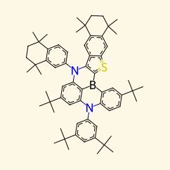 CC(C)(C)c1cc(N2c3ccc(C(C)(C)C)cc3B3c4sc5cc6c(cc5c4N(c4ccc5c(c4)C(C)(C)CCC5(C)C)c4cc(C(C)(C)C)cc2c43)C(C)(C)CCC6(C)C)cc(C(C)(C)C)c1